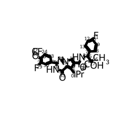 CC(C)c1c(C(=O)N[C@@H](c2ccc(F)cc2)C(C)(C)O)cn2nc(-c3ccc(OC(F)(F)F)c(F)c3)[nH]c(=O)c12